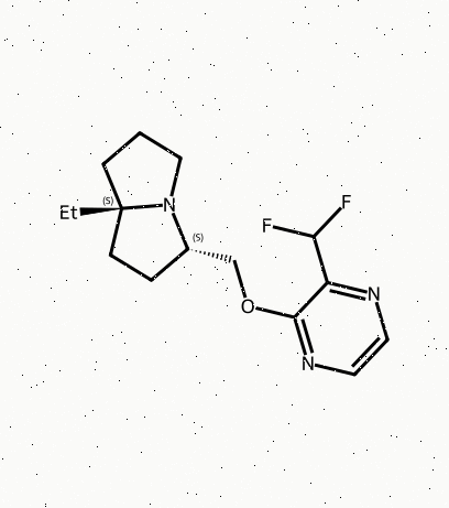 CC[C@@]12CCCN1[C@H](COc1nccnc1C(F)F)CC2